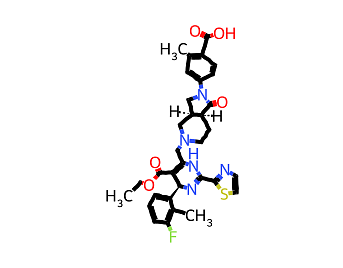 CCOC(=O)C1=C(CN2CC[C@@H]3C(=O)N(c4ccc(C(=O)O)c(C)c4)C[C@@H]3C2)NC(c2nccs2)=N[C@H]1c1cccc(F)c1C